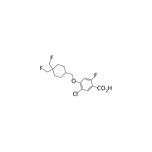 O=C(O)c1cc(Cl)c(OCC2CCC(CF)(CF)CC2)cc1F